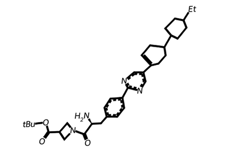 CCC1CCC(C2CC=C(c3cnc(-c4ccc(C[C@H](N)C(=O)N5CC(C(=O)OC(C)(C)C)C5)cc4)nc3)CC2)CC1